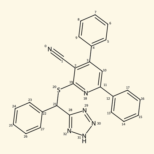 N#Cc1c(-c2ccccc2)cc(-c2ccccc2)nc1SC(c1ccccc1)c1nn[nH]n1